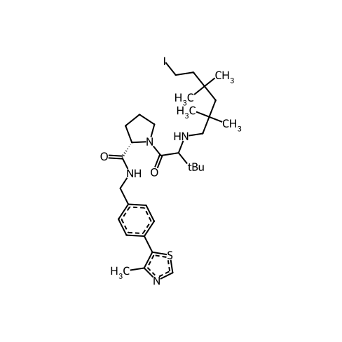 Cc1ncsc1-c1ccc(CNC(=O)[C@@H]2CCCN2C(=O)C(NCC(C)(C)CC(C)(C)CCI)C(C)(C)C)cc1